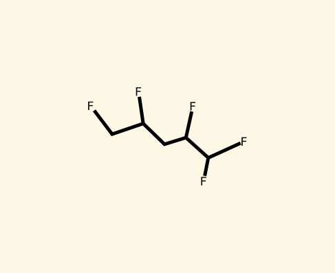 FCC(F)CC(F)C(F)F